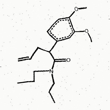 C=CCC(C(=O)N(CCC)CCC)c1ccc(OC)c(OC)c1